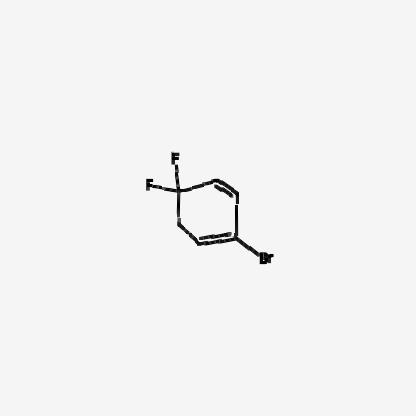 FC1(F)C=CC(Br)=CC1